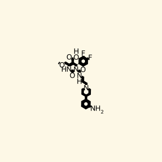 COCC1=C(C(=O)O)[C@H](c2ccc(F)c(F)c2)N(C(=O)NCCCN2CCC(c3cccc(N)c3)CC2)C(=O)N1